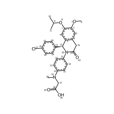 COc1cc2c(cc1OC(C)C)[C@H](c1ccc(Cl)cc1)N(c1ccc(N(C)CC(=O)O)cc1)C(=O)C2